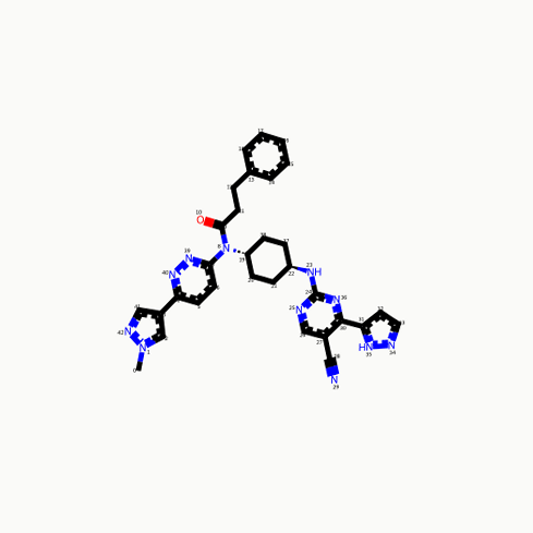 Cn1cc(-c2ccc(N(C(=O)CCc3ccccc3)[C@H]3CC[C@H](Nc4ncc(C#N)c(-c5ccn[nH]5)n4)CC3)nn2)cn1